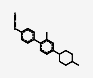 Cc1cc(C2CCC(C)CC2)ccc1-c1ccc(N=C=S)cc1